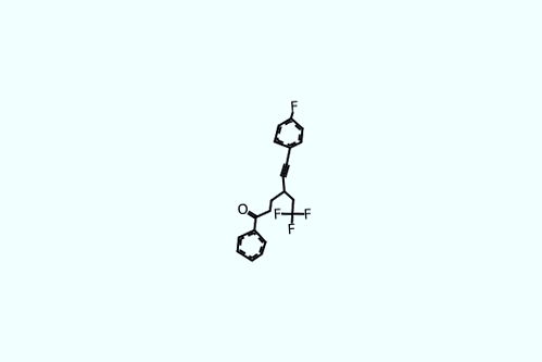 O=C(CCC(C#Cc1ccc(F)cc1)CC(F)(F)F)c1ccccc1